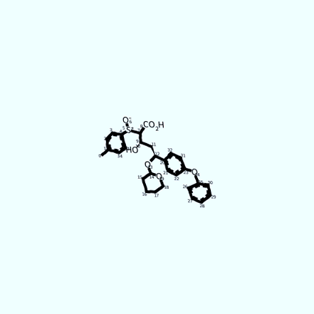 Cc1ccc([S+]([O-])C(C(=O)O)[C@@H](O)C[C@H](OC2CCCCO2)c2ccc(Oc3ccccc3)cc2)cc1